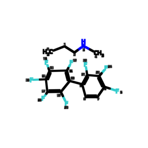 CCCNC.Fc1ccc(-c2c(F)c(F)c(F)c(F)c2F)c(F)c1F